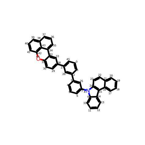 c1cc(-c2cccc(-n3c4ccccc4c4c5ccccc5ccc43)c2)cc(-c2ccc3c(c2)-c2cccc4cccc(c24)O3)c1